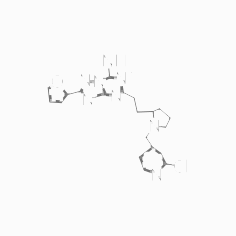 Nc1nc(CCC2CCCN2Cc2ccnc(Cl)c2)nc2nc(-c3ccco3)nn12